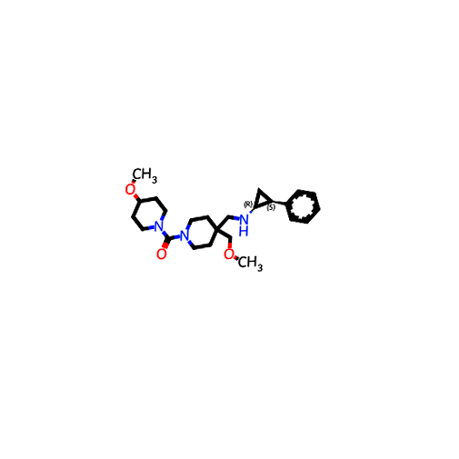 COCC1(CN[C@@H]2C[C@H]2c2ccccc2)CCN(C(=O)N2CCC(OC)CC2)CC1